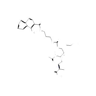 CC(=O)N[C@H](C/C=C(\C)C(=O)O)[C@@H](C)[C@@H](CCO)OC(=O)NCCCNC(=O)c1ccc2ccccc2c1O